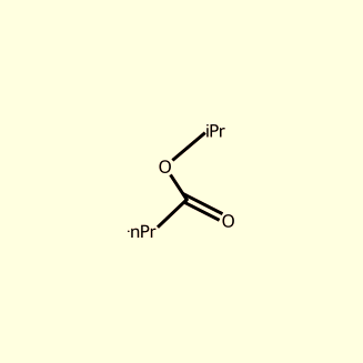 CC[CH]C(=O)OC(C)C